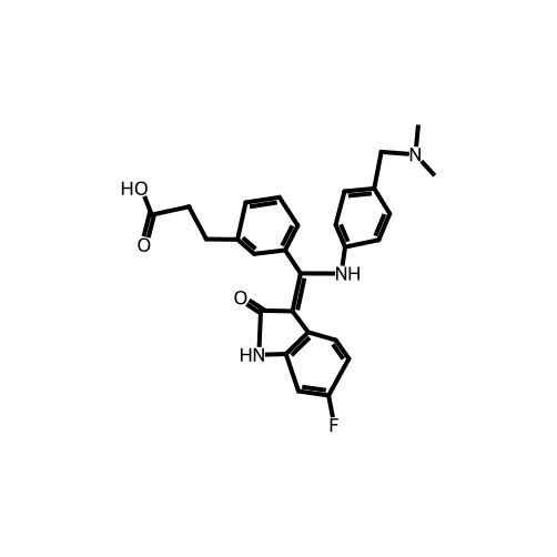 CN(C)Cc1ccc(NC(=C2C(=O)Nc3cc(F)ccc32)c2cccc(CCC(=O)O)c2)cc1